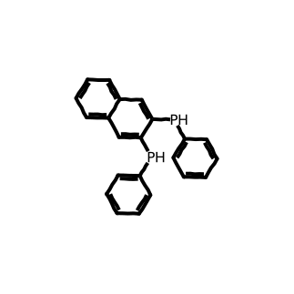 c1ccc(Pc2cc3ccccc3cc2Pc2ccccc2)cc1